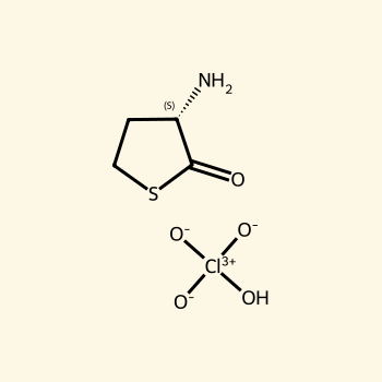 N[C@H]1CCSC1=O.[O-][Cl+3]([O-])([O-])O